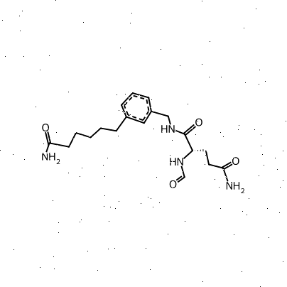 NC(=O)CCCCCc1cccc(CNC(=O)[C@H](CCC(N)=O)NC=O)c1